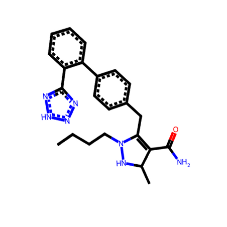 CCCCN1NC(C)C(C(N)=O)=C1Cc1ccc(-c2ccccc2-c2nn[nH]n2)cc1